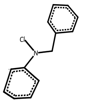 ClN(Cc1ccccc1)c1[c]cccc1